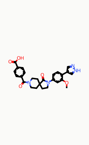 COc1cc(N2CCC3(CCN(C(=O)c4ccc(C(=O)O)cc4)CC3)C2=O)ccc1-c1cn[nH]c1